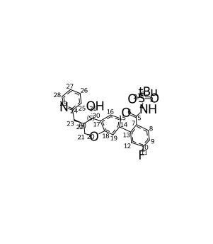 CC(C)(C)S(=O)(=O)NC(=O)c1ccc(F)cc1-c1ccc2c(c1)OC[C@@H](Cc1ccccn1)[C@@H]2O